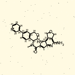 CN(C(=O)c1cc2nc(N)c3c(c2[nH]1)COC3)[C@@H]1COCc2cc(-c3cccnc3)ccc21